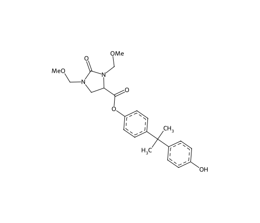 COCN1CC(C(=O)Oc2ccc(C(C)(C)c3ccc(O)cc3)cc2)N(COC)C1=O